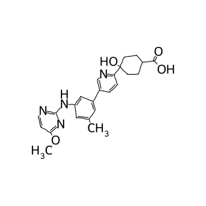 COc1ccnc(Nc2cc(C)cc(-c3ccc(C4(O)CCC(C(=O)O)CC4)nc3)c2)n1